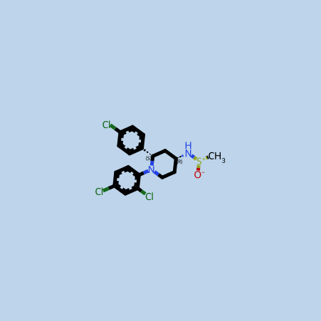 C[S+]([O-])N[C@@H]1CCN(c2ccc(Cl)cc2Cl)[C@H](c2ccc(Cl)cc2)C1